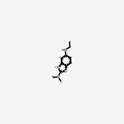 CCNc1ccc2sc(N(C)C)nc2c1